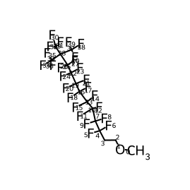 COCCC(F)(F)C(F)(F)C(F)(F)C(F)(F)C(F)(F)C(F)(F)C(F)(F)C(F)(F)C(C(F)(F)F)(C(F)(F)F)C(F)(F)F